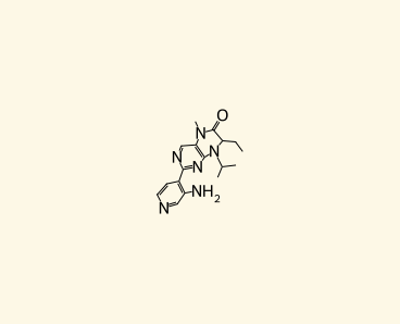 CCC1C(=O)N(C)c2cnc(-c3ccncc3N)nc2N1C(C)C